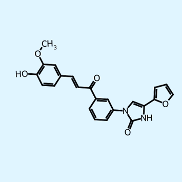 COc1cc(C=CC(=O)c2cccc(-n3cc(-c4ccco4)[nH]c3=O)c2)ccc1O